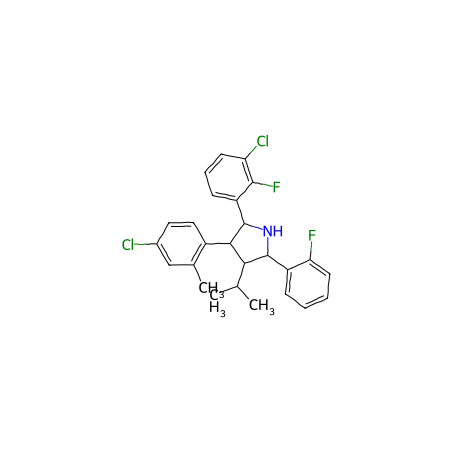 Cc1cc(Cl)ccc1C1C(c2cccc(Cl)c2F)NC(c2ccccc2F)C1C(C)C